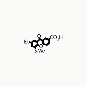 CCc1cc(SC)c2oc3ccc(C(=O)O)cc3c(=O)c2c1